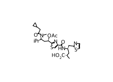 CC(=O)O[C@H](CC(C(C)C)N(C)C(=O)CC1CC1)c1nc(C(=O)N[C@@H](Cc2nccs2)C[C@H](C)C(=O)O)cs1